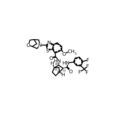 COc1ccc2nc(N3CC4COC(C4)C3)sc2c1C(=O)N[C@@H]1[C@H]2CC[C@H](C2)[C@@H]1C(=O)Nc1ccc(F)c(C(F)(F)F)c1